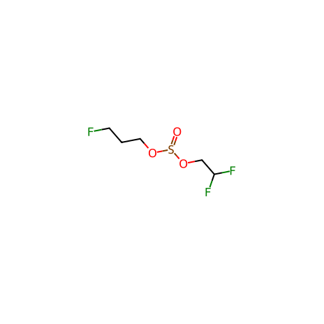 O=S(OCCCF)OCC(F)F